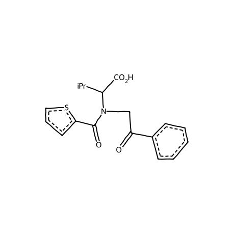 CC(C)C(C(=O)O)N(CC(=O)c1ccccc1)C(=O)c1cccs1